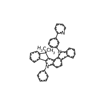 CC1(C)c2ccccc2-c2c1c1c(ccc3c4ccccc4n(-c4cccc(-c5ccccn5)c4)c31)n2-c1ccccc1